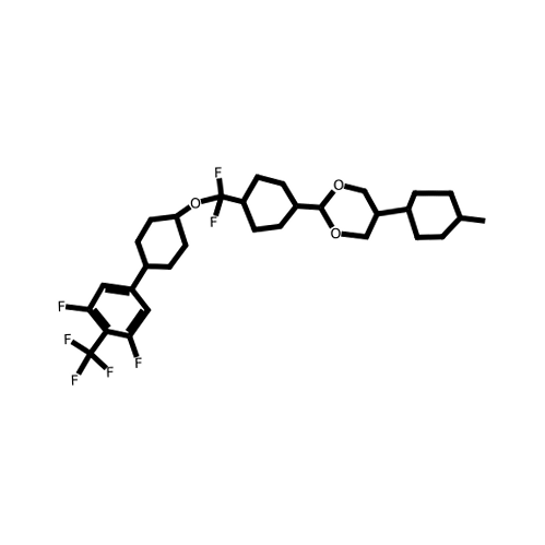 CC1CCC(C2COC(C3CCC(C(F)(F)OC4CCC(c5cc(F)c(C(F)(F)F)c(F)c5)CC4)CC3)OC2)CC1